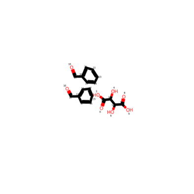 O=C(O)C(O)C(O)C(=O)O.O=Cc1ccccc1.O=Cc1ccccc1